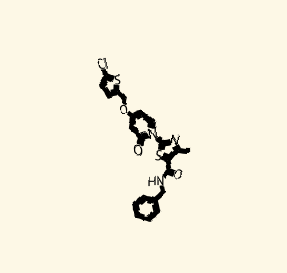 Cc1nc(-n2ccc(OCc3ccc(Cl)s3)cc2=O)sc1C(=O)NCc1ccccc1